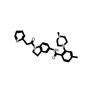 Cc1ccc(C(=O)Nc2ccc3c(c2)CCN3C(=O)Cc2ccccn2)c(N2CCN(C)CC2)c1